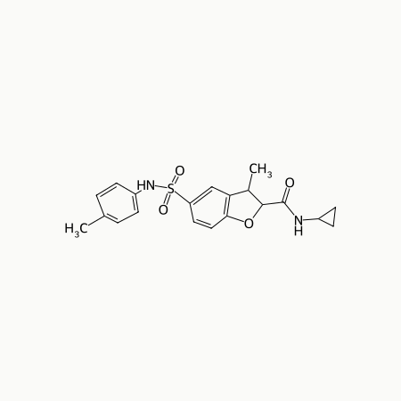 Cc1ccc(NS(=O)(=O)c2ccc3c(c2)C(C)C(C(=O)NC2CC2)O3)cc1